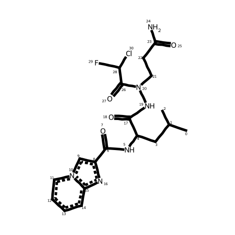 CC(C)CC(NC(=O)c1cn2ccccc2n1)C(=O)NN(CCC(N)=O)C(=O)C(F)Cl